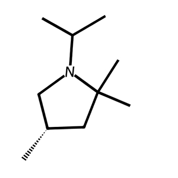 CC(C)N1C[C@@H](C)CC1(C)C